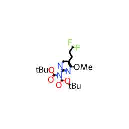 COc1nc(N(C(=O)OC(C)(C)C)C(=O)OC(C)(C)C)ncc1CCC(F)F